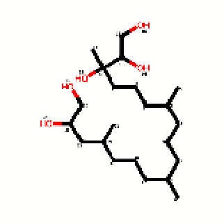 CC(CCCC(C)CCCC(C)(O)C(O)CO)CCCC(C)CC(O)CO